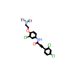 CCN(CC)CCOc1ccc(NC(=O)C#Cc2ccc(Cl)cc2Cl)cc1Cl